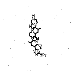 CC(C)c1nnc2n1COCC2CC(C)c1nnc2n1CCOC2CC(C)c1nnc2n1CCNC2